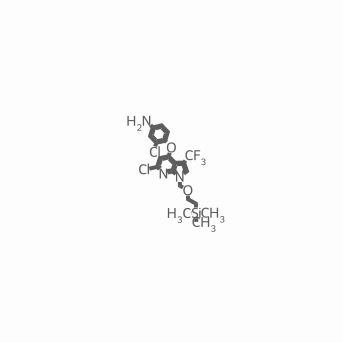 C[Si](C)(C)CCOCn1cc(C(F)(F)F)c2c(Oc3ccc(N)cc3Cl)cc(Cl)nc21